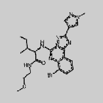 CCC(C)[C@@H](Nc1nc2c(Br)cccc2c2nc(-c3cnn(C)c3)nn12)C(=O)NCCOC